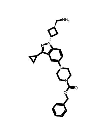 NC[C@H]1C[C@H](n2nc(C3CC3)c3cc(N4CCN(C(=O)OCc5ccccc5)CC4)ccc32)C1